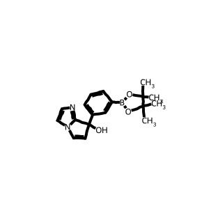 CC1(C)OB(c2cccc(C3(O)C=Cn4ccnc43)c2)OC1(C)C